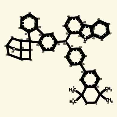 CC1(C)CCC(C)(C)c2cc(-c3ccc(N(c4ccc5c(c4)-c4ccccc4C54C5CC6CC7CC4C75C6)c4cccc5c4oc4ccccc45)cc3)ccc21